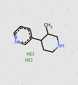 CC1CNCCC1c1cccnc1.Cl.Cl